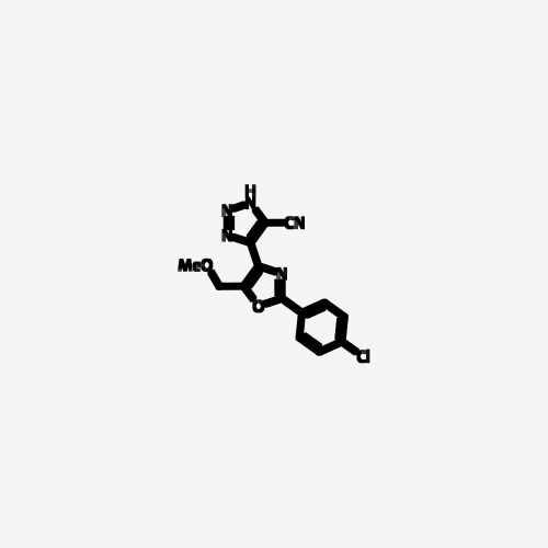 COCc1oc(-c2ccc(Cl)cc2)nc1-c1nn[nH]c1C#N